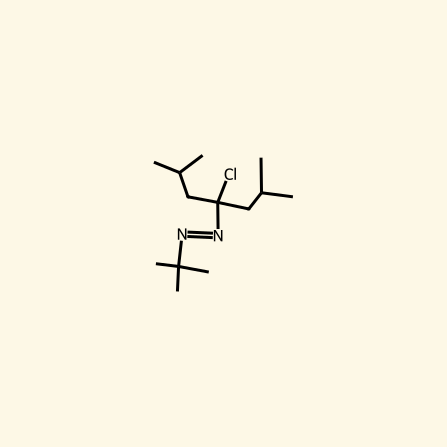 CC(C)CC(Cl)(CC(C)C)/N=N/C(C)(C)C